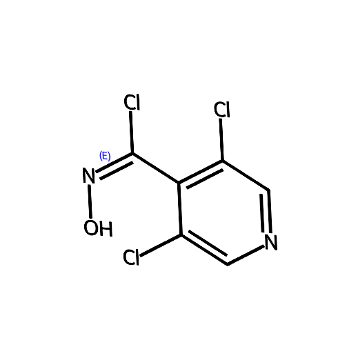 O/N=C(/Cl)c1c(Cl)cncc1Cl